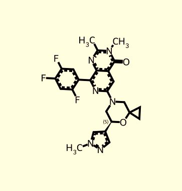 Cc1nc2c(-c3cc(F)c(F)cc3F)nc(N3C[C@H](c4cnn(C)c4)OC4(CC4)C3)cc2c(=O)n1C